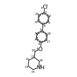 Clc1ccc(-c2ccc(OCC3CCCNC3)cc2)cc1